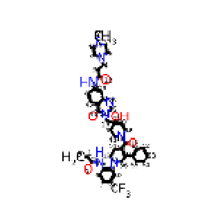 C=CC(=O)Nc1ccc(C(F)(F)F)cc1N1CCC(C(=O)N2CCC(O)(Cn3cnc4cc(NC(=O)CCN5CCN(C)CC5)ccc4c3=O)CC2)C(c2ccccc2)C1